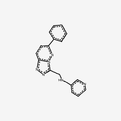 c1ccc(-c2ccc3nnc(CNc4cccnc4)n3n2)cc1